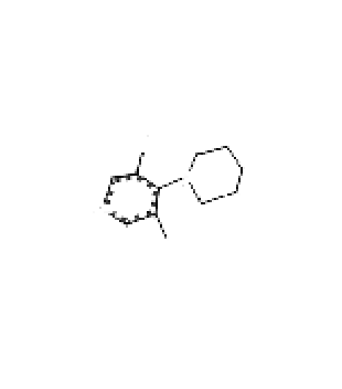 Clc1cncc(Cl)c1N1CC[CH]CC1